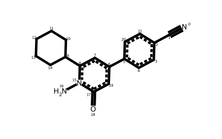 N#Cc1ccc(-c2cc(C3CCCCC3)n(N)c(=O)c2)cc1